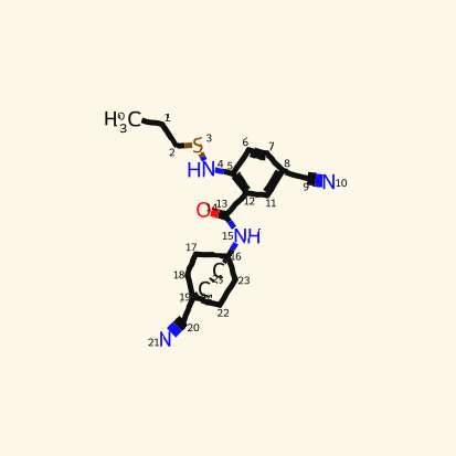 CCCSNc1ccc(C#N)cc1C(=O)NC12CCC(C#N)(CC1)CC2